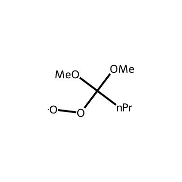 CCCC(OC)(OC)O[O]